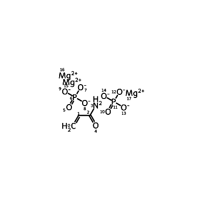 C=CC(N)=O.O=P([O-])([O-])[O-].O=P([O-])([O-])[O-].[Mg+2].[Mg+2].[Mg+2]